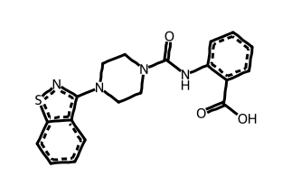 O=C(O)c1ccccc1NC(=O)N1CCN(c2nsc3ccccc23)CC1